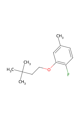 Cc1ccc(F)c(OCCC(C)(C)C)c1